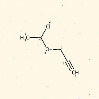 C#CCOC(C)Cl